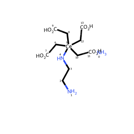 N.NCC[NH][Ce]([CH2]C(=O)O)([CH2]C(=O)O)([CH2]C(=O)O)[CH2]C(=O)O